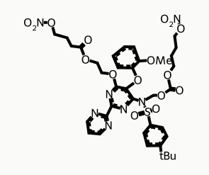 COc1ccccc1Oc1c(OCCOC(=O)CCCO[N+](=O)[O-])nc(-c2ncccn2)nc1N(COC(=O)OCCCCO[N+](=O)[O-])S(=O)(=O)c1ccc(C(C)(C)C)cc1